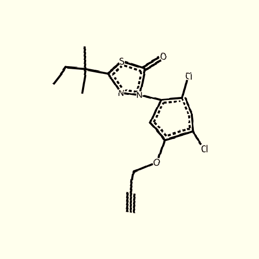 C#CCOc1cc(-n2nc(C(C)(C)CC)sc2=O)c(Cl)cc1Cl